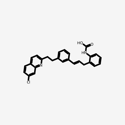 O=C(O)Nc1ccccc1C/C=C/c1cccc(CCc2ccc3ccc(Cl)cc3n2)c1